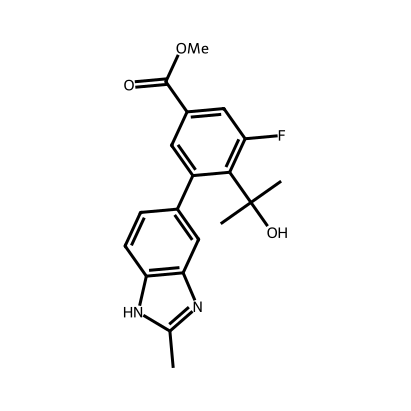 COC(=O)c1cc(F)c(C(C)(C)O)c(-c2ccc3[nH]c(C)nc3c2)c1